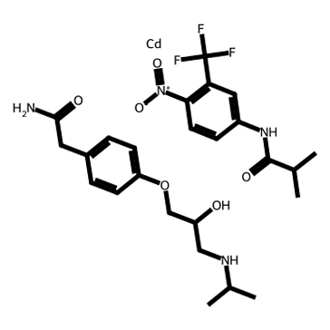 CC(C)C(=O)Nc1ccc([N+](=O)[O-])c(C(F)(F)F)c1.CC(C)NCC(O)COc1ccc(CC(N)=O)cc1.[Cd]